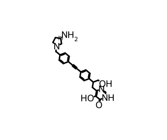 N[C@@H]1CCN(Cc2ccc(C#Cc3ccc(C(CO)Cc4nc[nH]c(=O)c4O)cc3)cc2)C1